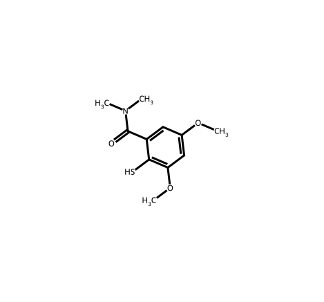 COc1cc(OC)c(S)c(C(=O)N(C)C)c1